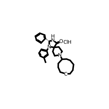 Cc1cccc(N2[C@H](c3ccccc3)NC(=O)C23CCN(C2CCCCCCCCC2)CC3)c1.Cl